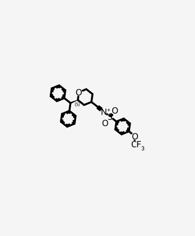 O=S(=O)([N+]#CC1CCO[C@H](C(c2ccccc2)c2ccccc2)C1)c1ccc(OC(F)(F)F)cc1